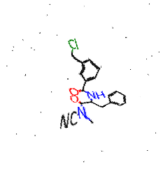 CN(C#N)C(=O)C(Cc1ccccc1)NC(=O)c1cccc(CCl)c1